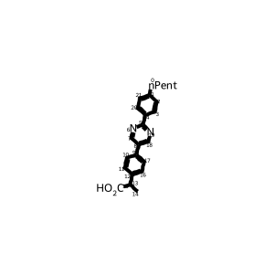 CCCCCc1ccc(-c2ncc(-c3ccc(C(C)C(=O)O)cc3)cn2)cc1